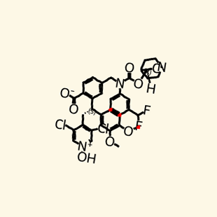 COc1ccc([C@H](Cc2c(Cl)c[n+](O)cc2Cl)c2cc(CN(C(=O)O[C@H]3CN4CCC3CC4)c3cccc(C(F)F)c3)ccc2C(=O)[O-])cc1OC